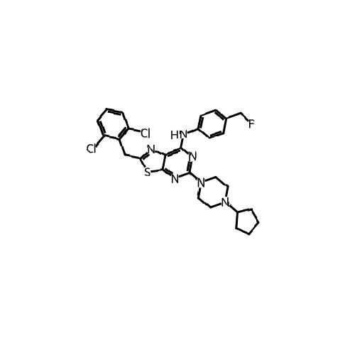 FCc1ccc(Nc2nc(N3CCN(C4CCCC4)CC3)nc3sc(Cc4c(Cl)cccc4Cl)nc23)cc1